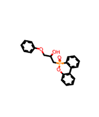 O=P1(CC(O)COc2ccccc2)Oc2ccccc2-c2ccccc21